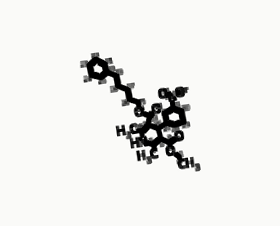 CCOC(=O)C1=C(C)NC(C)=C(C(=O)OCC=CC=Cc2ccccc2)C1c1cccc([N+](=O)[O-])c1